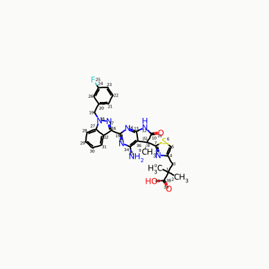 CC(C)(Cc1csc([C@]2(C)C(=O)Nc3nc(-c4nn(Cc5cccc(F)c5)c5ccccc45)nc(N)c32)n1)C(=O)O